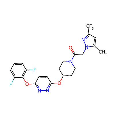 Cc1cc(C(F)(F)F)nn1CC(=O)N1CCC(Oc2ccc(Oc3c(F)cccc3F)nn2)CC1